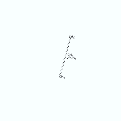 [CH2]CCCCCCC=CCC(CCCCCCCCCC[CH2])CC(C)C